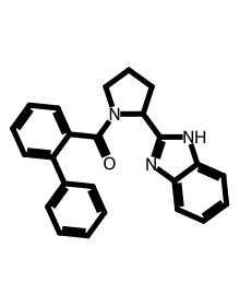 O=C(c1ccccc1-c1ccccc1)N1CCCC1c1nc2ccccc2[nH]1